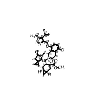 COC(=O)[C@@]1(C)C[C@H]2C[C@H]2C[C@H]1C(=O)N1CCc2c(Cl)ccc(OCc3nnn(C)c3C(F)F)c2[C@H]1CN1CC2(CC2)CC1=O